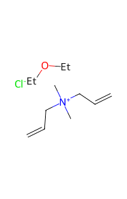 C=CC[N+](C)(C)CC=C.CCOCC.[Cl-]